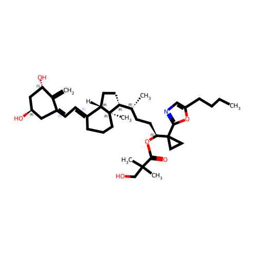 C=C1/C(=C\C=C2/CCC[C@]3(C)[C@@H]([C@H](C)CC[C@H](OC(=O)C(C)(C)CO)C4(c5ncc(CCCC)o5)CC4)CC[C@@H]23)C[C@@H](O)C[C@@H]1O